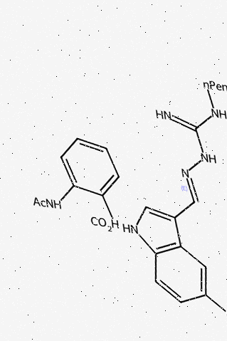 CC(=O)Nc1ccccc1C(=O)O.CCCCCNC(=N)N/N=C/c1c[nH]c2ccc(OC)cc12